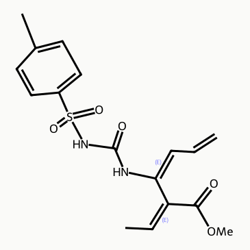 C=C/C=C(NC(=O)NS(=O)(=O)c1ccc(C)cc1)\C(=C/C)C(=O)OC